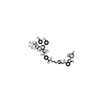 CC(C)[C@@H](CS(=O)(=O)C(C)C)N1C(=O)[C@@](C)(CC(=O)Nc2ccc(C(=O)NCCCn3cnc(CNc4cccc5c4CN(C4CCC(=O)NC4=O)C5=O)c3)cc2)C[C@H](c2cccc(Cl)c2)[C@H]1c1ccc(Cl)cc1